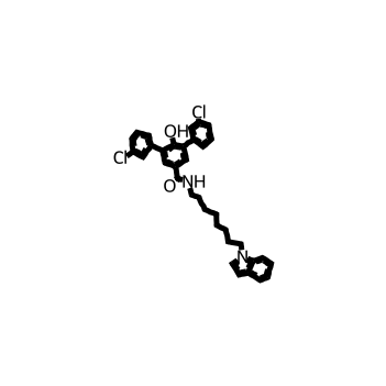 O=C(NCCCCCCCCn1ccc2ccccc21)c1cc(-c2cccc(Cl)c2)c(O)c(-c2cccc(Cl)c2)c1